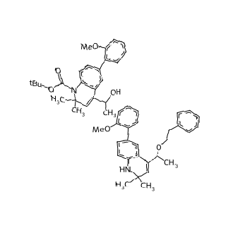 COc1ccccc1-c1ccc2c(c1)C(C(C)O)=CC(C)(C)N2C(=O)OC(C)(C)C.COc1ccccc1-c1ccc2c(c1)C(C(C)OCCc1ccccc1)=CC(C)(C)N2